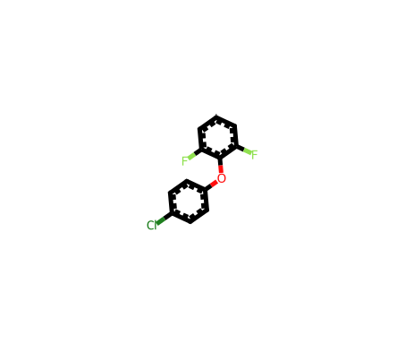 Fc1c[c]cc(F)c1Oc1ccc(Cl)cc1